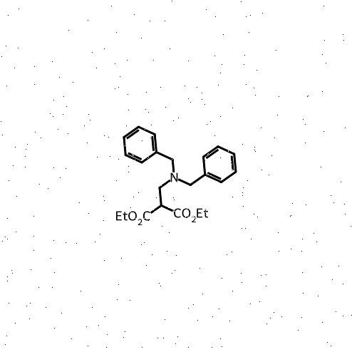 CCOC(=O)C(CN(Cc1ccccc1)Cc1ccccc1)C(=O)OCC